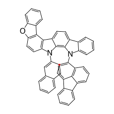 c1ccc2c(c1)-c1cccc3c(-n4c5ccccc5c5ccc6c7c8c(ccc7n(-c7ccc9ccccc9c7)c6c54)oc4ccccc48)ccc-2c13